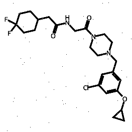 O=C(CC1CCC(F)(F)CC1)NCC(=O)N1CCN(Cc2cc(Cl)cc(OC3CC3)c2)CC1